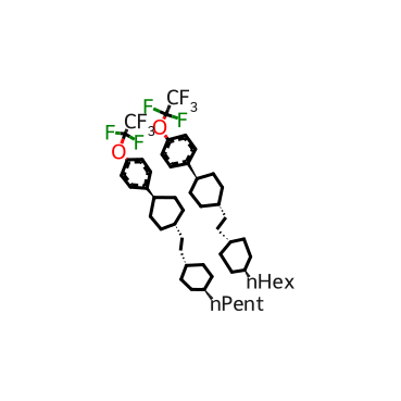 CCCCCC[C@H]1CC[C@H](CC[C@H]2CC[C@H](c3ccc(OC(F)(F)C(F)(F)F)cc3)CC2)CC1.CCCCC[C@H]1CC[C@H](CC[C@H]2CC[C@H](c3ccc(OC(F)(F)C(F)(F)F)cc3)CC2)CC1